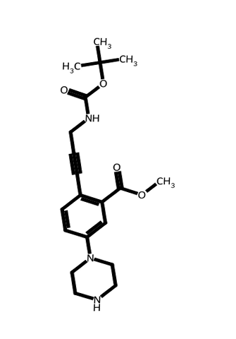 COC(=O)c1cc(N2CCNCC2)ccc1C#CCNC(=O)OC(C)(C)C